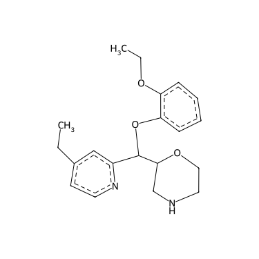 CCOc1ccccc1OC(c1cc(CC)ccn1)C1CNCCO1